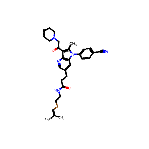 CC(C)=CSCCNC(=O)CCc1cnc2c(C(=O)CN3CCCCC3)c(C)n(-c3ccc(C#N)cc3)c2c1